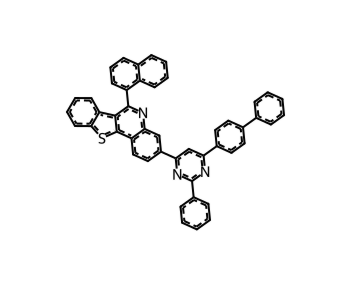 c1ccc(-c2ccc(-c3cc(-c4ccc5c(c4)nc(-c4cccc6ccccc46)c4c6ccccc6sc54)nc(-c4ccccc4)n3)cc2)cc1